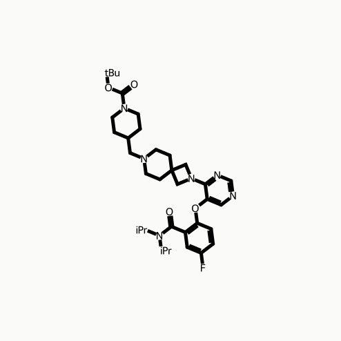 CC(C)N(C(=O)c1cc(F)ccc1Oc1cncnc1N1CC2(CCN(CC3CCN(C(=O)OC(C)(C)C)CC3)CC2)C1)C(C)C